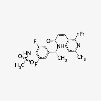 CCCc1nc(C(F)(F)F)ccc1/C=C\C(=O)N[C@H](C)c1cc(F)c(NS(C)(=O)=O)c(F)c1